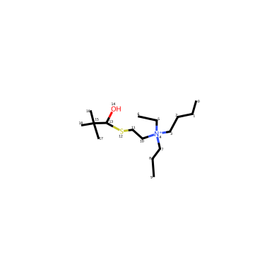 CCCC[N+](CC)(CCC)CCSC(O)C(C)(C)C